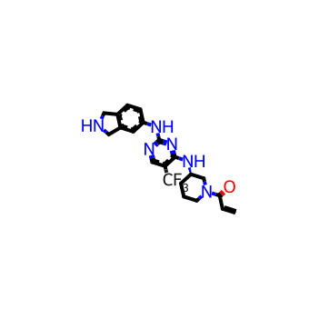 C=CC(=O)N1CCC[C@@H](Nc2nc(Nc3ccc4c(c3)CNC4)ncc2C(F)(F)F)C1